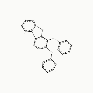 c1ccc(Nc2ccc3c(c2Nc2ccccc2)Cc2ccccc2-3)cc1